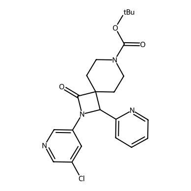 CC(C)(C)OC(=O)N1CCC2(CC1)C(=O)N(c1cncc(Cl)c1)C2c1ccccn1